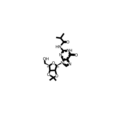 CC(C)C(=O)Nc1nc2c(ncn2[C@@H]2O[C@H](CO)C3OC(C)(C)OC32)c(=O)[nH]1